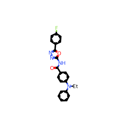 CCN(c1ccccc1)c1ccc(C(=O)Nc2nnc(-c3ccc(F)cc3)o2)cc1